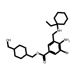 CCC1(NCc2cc(C(=O)OCC3CCC(CO)CC3)cc(Br)c2N)CCCCC1